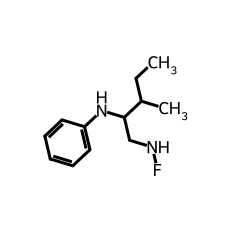 CCC(C)C(CNF)Nc1ccccc1